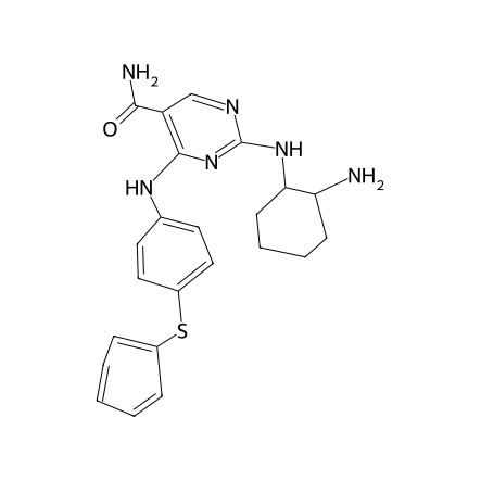 NC(=O)c1cnc(NC2CCCCC2N)nc1Nc1ccc(Sc2ccccc2)cc1